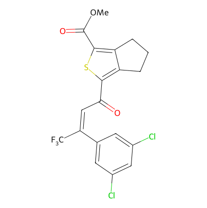 COC(=O)c1sc(C(=O)C=C(c2cc(Cl)cc(Cl)c2)C(F)(F)F)c2c1CCC2